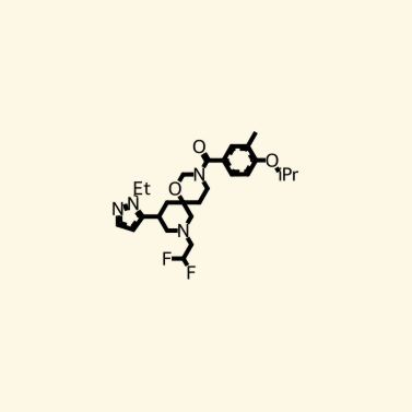 CCn1nccc1C1CN(CC(F)F)CC2(CCN(C(=O)c3ccc(OC(C)C)c(C)c3)CO2)C1